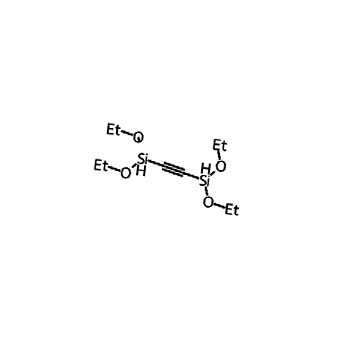 CCO[SiH](C#C[SiH](OCC)OCC)OCC